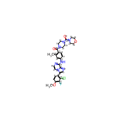 COc1ccc(-c2cnc3c(Nc4ccc(C(=O)N5CCN(C(=O)N6CCOCC6)CC5)c(C)c4)nccn23)c(Cl)c1F